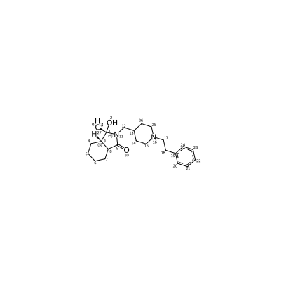 C[C@]1(O)[C@H]2CCCCC2C(=O)N1CC1CCN(CCc2ccccc2)CC1